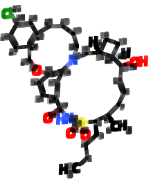 CCCC[C@@H]1[C@H](C)C/C=C/[C@H](O)[C@@H]2CC[C@H]2CN2CCCCc3cc(Cl)ccc3COc3ccc(cc32)C(=O)NS1(=O)=O